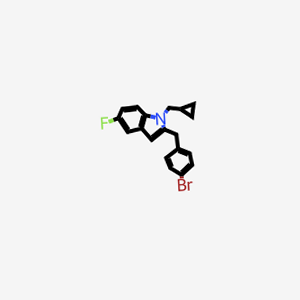 Fc1ccc2c(c1)cc(Cc1ccc(Br)cc1)n2CC1CC1